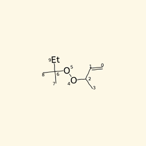 C=CC(C)OOC(C)(C)CC